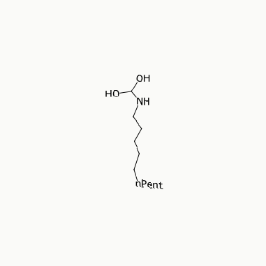 CCCCCCCCCCNC(O)O